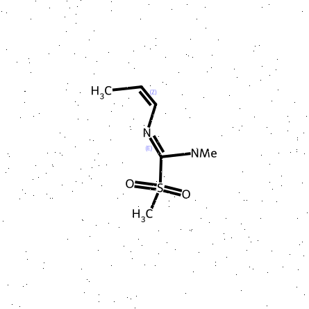 C/C=C\N=C(/NC)S(C)(=O)=O